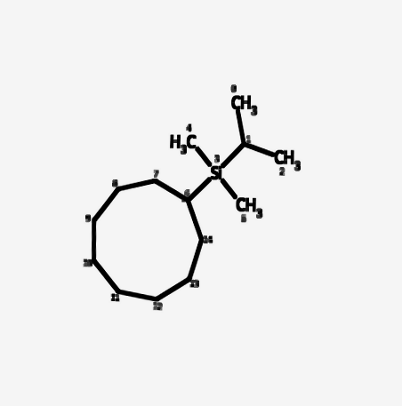 CC(C)[Si](C)(C)[C]1CCCCCCCC1